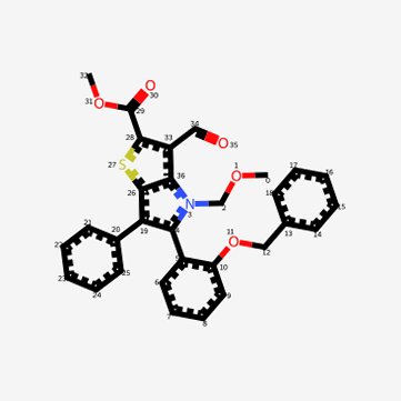 COCn1c(-c2ccccc2OCc2ccccc2)c(-c2ccccc2)c2sc(C(=O)OC)c(C=O)c21